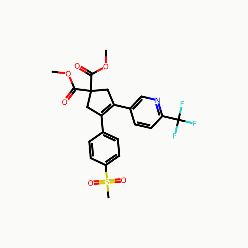 COC(=O)C1(C(=O)OC)CC(c2ccc(S(C)(=O)=O)cc2)=C(c2ccc(C(F)(F)F)nc2)C1